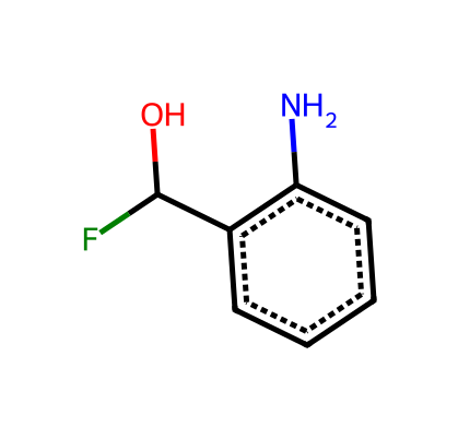 Nc1ccccc1C(O)F